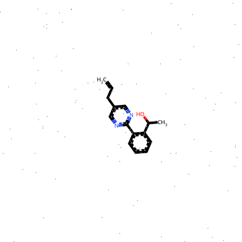 C=CCc1cnc(-c2ccccc2C(C)O)nc1